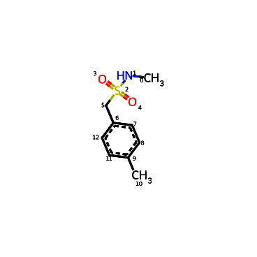 CNS(=O)(=O)Cc1ccc(C)cc1